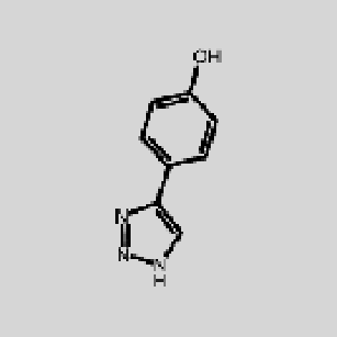 Oc1ccc(-c2c[nH]nn2)cc1